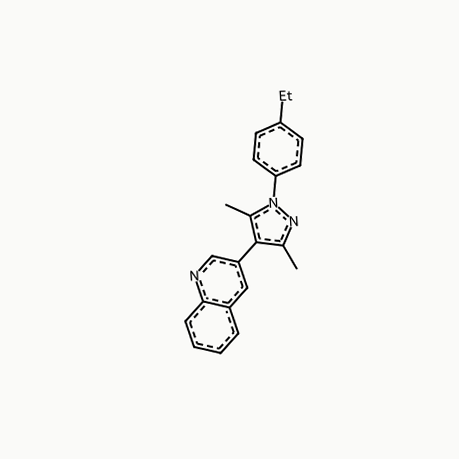 [CH2]Cc1ccc(-n2nc(C)c(-c3cnc4ccccc4c3)c2C)cc1